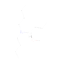 CCCCN(CCCC)[SiH](CCC)OC